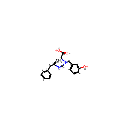 C=C(Cc1ccccc1)/N=C\N(CC(=O)O)Cc1cccc(O)c1